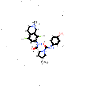 Bc1ccc(NC(=O)N2C[C@H](OC)C[C@@H]2C(=O)Nc2cc(F)c3c(c2F)CN(C)CC3)cc1